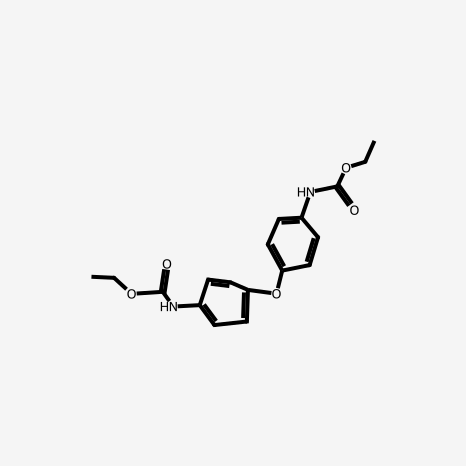 CCOC(=O)Nc1ccc(Oc2ccc(NC(=O)OCC)cc2)cc1